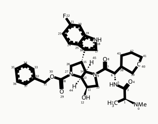 CN[C@@H](C)C(=O)N[C@H](C(=O)N1C[C@@H](O)[C@@H]2[C@H]1[C@@H](c1c[nH]c3cc(F)ccc13)CN2C(=O)OCc1ccccc1)C1CCCCC1